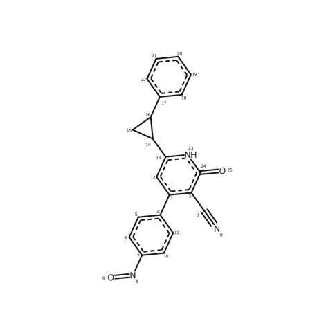 N#Cc1c(-c2ccc(N=O)cc2)cc(C2CC2c2ccccc2)[nH]c1=O